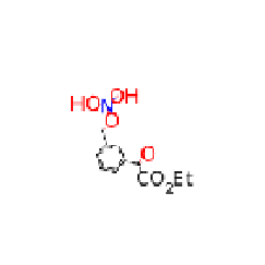 CCOC(=O)C(=O)c1cccc(CON(O)O)c1